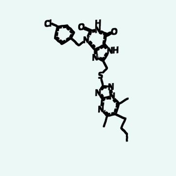 CCCCc1c(C)nc2nc(SCc3nc4c([nH]3)c(=O)[nH]c(=O)n4Cc3ccc(Cl)cc3)nn2c1C